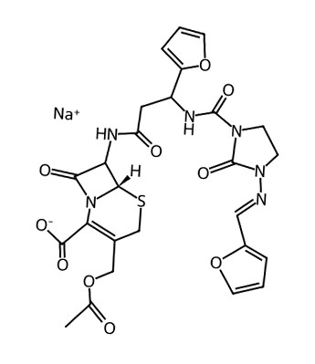 CC(=O)OCC1=C(C(=O)[O-])N2C(=O)C(NC(=O)CC(NC(=O)N3CCN(N=Cc4ccco4)C3=O)c3ccco3)[C@@H]2SC1.[Na+]